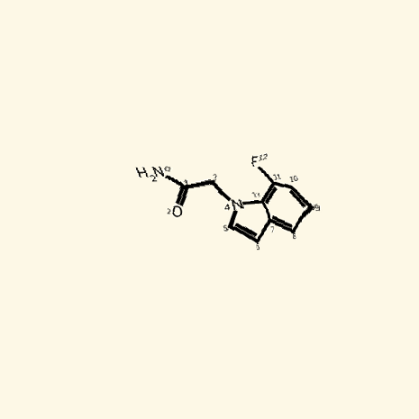 NC(=O)Cn1ccc2cccc(F)c21